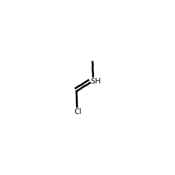 C[SH]=CCl